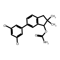 CC1(C)Cc2ccc(-c3cc(Cl)cc(Cl)c3)cc2C1OC(N)=O